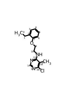 CCc1ccccc1OCCNc1ncnc(Cl)c1C